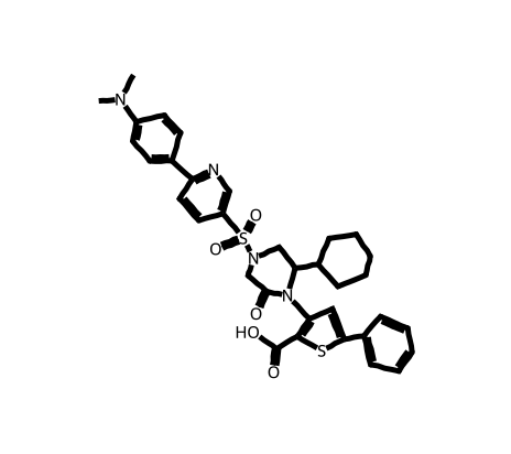 CN(C)c1ccc(-c2ccc(S(=O)(=O)N3CC(=O)N(c4cc(-c5ccccc5)sc4C(=O)O)C(C4CCCCC4)C3)cn2)cc1